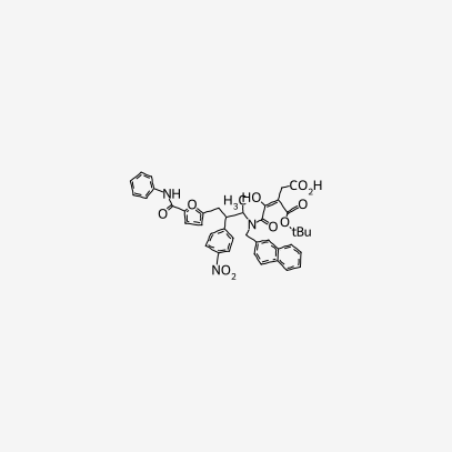 CC(C(Cc1ccc(C(=O)Nc2ccccc2)o1)c1ccc([N+](=O)[O-])cc1)N(Cc1ccc2ccccc2c1)C(=O)C(O)=C(CC(=O)O)C(=O)OC(C)(C)C